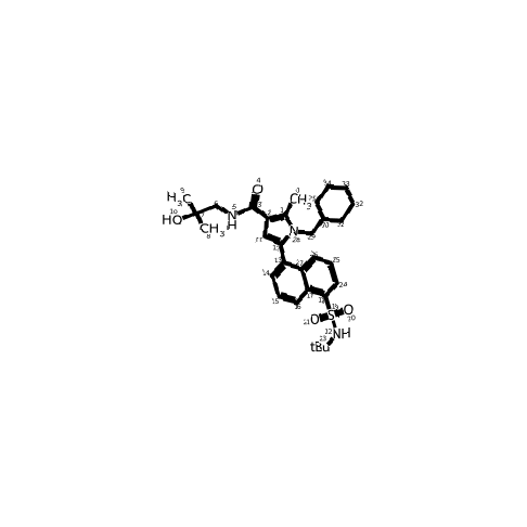 Cc1c(C(=O)NCC(C)(C)O)cc(-c2cccc3c(S(=O)(=O)NC(C)(C)C)cccc23)n1CC1CCCCC1